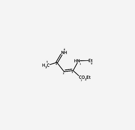 CCN/C(=C\C(C)=N)C(=O)OCC